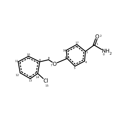 NC(=O)c1ccc(OCc2ccccc2Cl)cc1